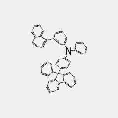 c1ccc(N(c2ccc(C3(c4ccccc4)c4ccccc4-c4ccccc43)cc2)c2cccc(-c3cccc4ccccc34)c2)cc1